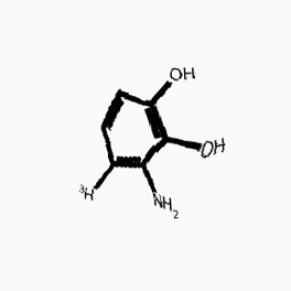 [3H]c1ccc(O)c(O)c1N